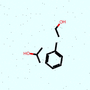 CC(C)O.CCO.[CH2]c1ccccc1